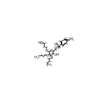 CCCCOC1C(OCCCO)OC(COS(=O)(=O)c2ccc(C)cc2)C(O)C1OCCCC